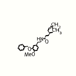 C=N\C=C/C(=C\C)/C=C/C(=O)NCCc1ccc(OC)c(OCc2ccccc2)c1